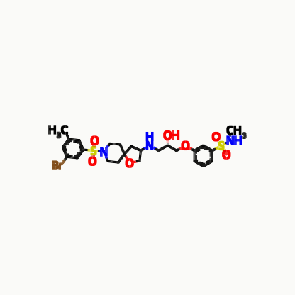 CNS(=O)(=O)c1cccc(OC[C@@H](O)CNC2COC3(CCN(S(=O)(=O)c4cc(C)cc(Br)c4)CC3)C2)c1